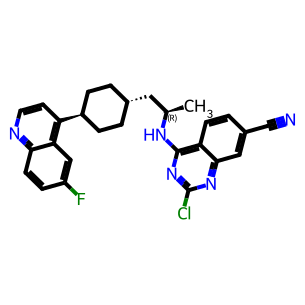 C[C@H](C[C@H]1CC[C@H](c2ccnc3ccc(F)cc32)CC1)Nc1nc(Cl)nc2cc(C#N)ccc12